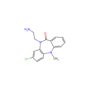 CN1c2ccccc2C(=O)N(CCN)c2cc(Cl)ccc21